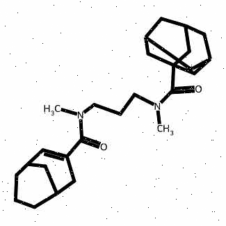 CN(CCCN(C)C(=O)C12CC3CC(CC(C3)C1)C2)C(=O)C1=CC2CCCC(C1)C2